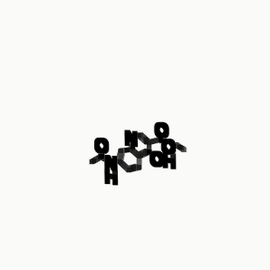 CCOC(=O)c1cnc2cc(NC(C)=O)ccc2c1O